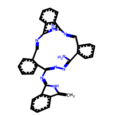 C=C1N\C(=N/C2=N\N=C(/N)c3ccccc3/C=N/c3[nH]c(c4ccccc34)/N=C/c3ccccc32)c2ccccc21